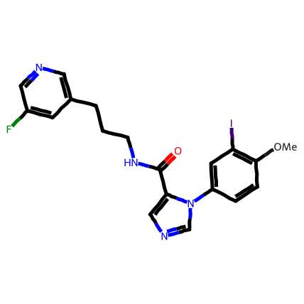 COc1ccc(-n2cncc2C(=O)NCCCc2cncc(F)c2)cc1I